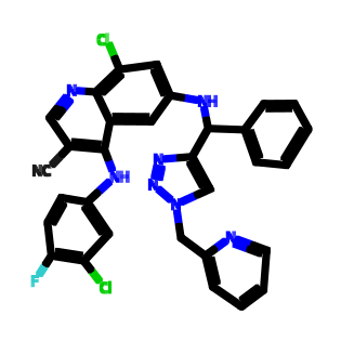 N#Cc1cnc2c(Cl)cc(NC(c3ccccc3)c3cn(Cc4ccccn4)nn3)cc2c1Nc1ccc(F)c(Cl)c1